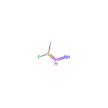 N=[PH]=S(F)I